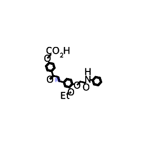 CCOc1cc(/C=C/C(=O)c2ccc(OCC(=O)O)cc2)ccc1OCC(=O)Nc1ccccc1